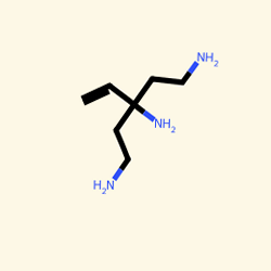 C=CC(N)(CCN)CCN